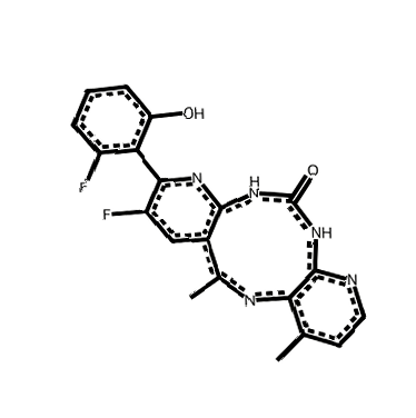 Cc1nc2c(C)ccnc2[nH]c(=O)[nH]c2nc(-c3c(O)cccc3F)c(F)cc12